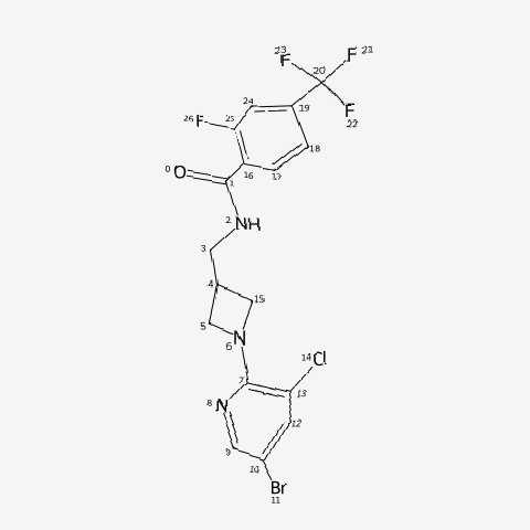 O=C(NCC1CN(c2ncc(Br)cc2Cl)C1)c1ccc(C(F)(F)F)cc1F